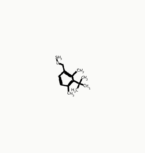 Cc1c[c]c(CO[SiH3])c(C)c1C(C)(C)C